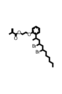 C=C(C)C(=O)OCCOc1ccccc1C(C)CC(Br)CC(Br)CCCCCC